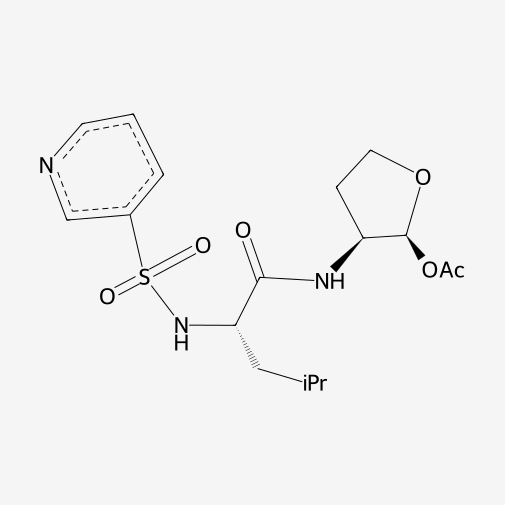 CC(=O)O[C@@H]1OCC[C@@H]1NC(=O)[C@H](CC(C)C)NS(=O)(=O)c1cccnc1